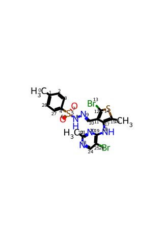 Cc1ccc(S(=O)(=O)N/N=C/c2c(Br)sc(C)c2Nc2nc(C)ncc2Br)cc1